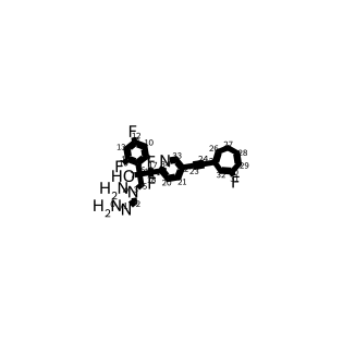 N/N=C\N(N)CC(O)(c1ccc(F)cc1F)C(F)(F)c1ccc(C#CC2=CCC=CC(F)=C2)cn1